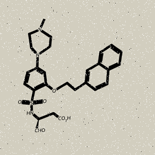 CN1CCN(c2ccc(S(=O)(=O)N[C@H](C=O)CC(=O)O)c(OCCc3ccc4ccccc4c3)c2)CC1